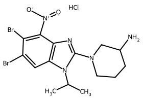 CC(C)n1c(N2CCCC(N)C2)nc2c([N+](=O)[O-])c(Br)c(Br)cc21.Cl